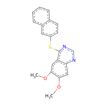 COc1cc2ncnc(Sc3ccc4ccccc4c3)c2cc1OC